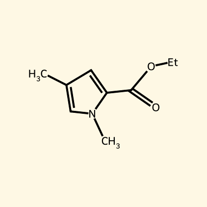 CCOC(=O)c1cc(C)cn1C